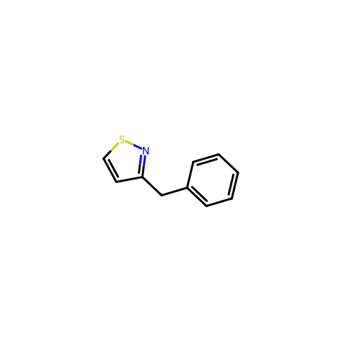 c1ccc(Cc2ccsn2)cc1